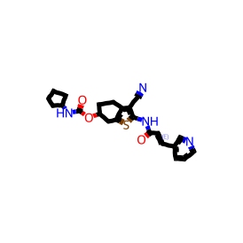 N#Cc1c(NC(=O)/C=C/c2cccnc2)sc2c1CCC(OC(=O)NC1CCCC1)C2